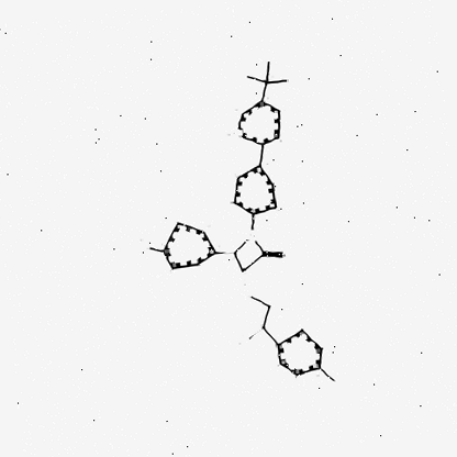 O=C1[C@H](SC[C@H](O)c2ccc(F)cc2)[C@@H](c2ccc(O)cc2)N1c1ccc(-c2ccc(C(F)(F)F)cn2)cc1